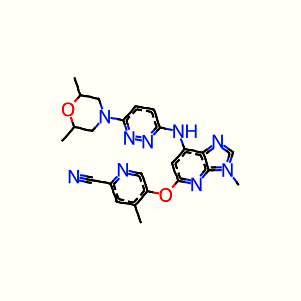 Cc1cc(C#N)ncc1Oc1cc(Nc2ccc(N3CC(C)OC(C)C3)nn2)c2ncn(C)c2n1